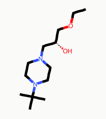 CCOC[C@H](O)CN1CCN(C(C)(C)C)CC1